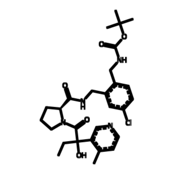 CCC(O)(C(=O)N1CCC[C@H]1C(=O)NCc1cc(Cl)ccc1CNC(=O)OC(C)(C)C)c1cnccc1C